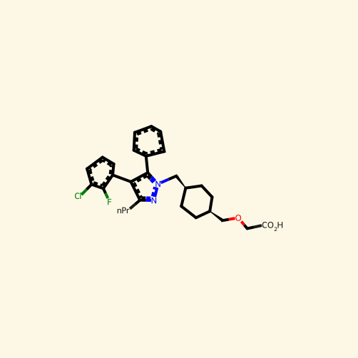 CCCc1nn(C[C@H]2CC[C@@H](COCC(=O)O)CC2)c(-c2ccccc2)c1-c1cccc(Cl)c1F